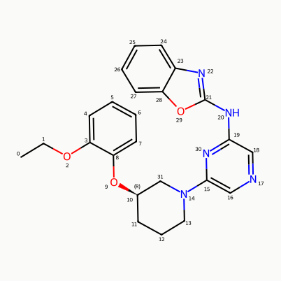 CCOc1ccccc1O[C@@H]1CCCN(c2cncc(Nc3nc4ccccc4o3)n2)C1